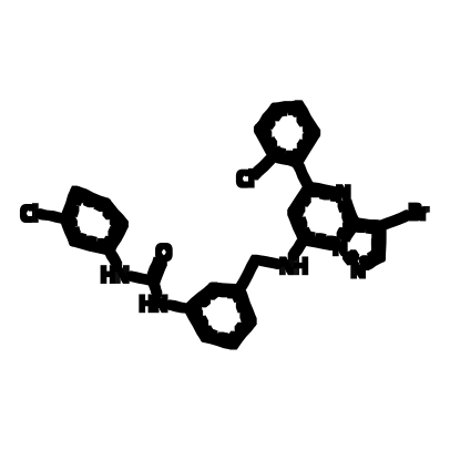 O=C(Nc1cccc(Cl)c1)Nc1cccc(CNc2cc(-c3ccccc3Cl)nc3c(Br)cnn23)c1